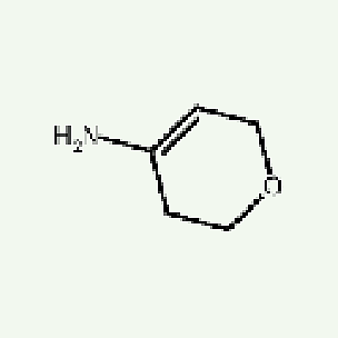 NC1=CCOCC1